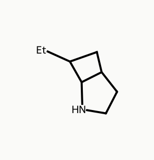 [CH2]CC1CC2CCNC12